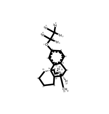 [2H]C([2H])([2H])C([2H])([2H])Oc1ccc2c(c1)[C@]13CCCC[C@@H]1[C@H](C2)N(C)CC3